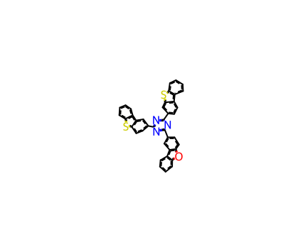 c1ccc2c(c1)oc1ccc(-c3nc(-c4ccc5c(c4)sc4ccccc45)nc(-c4ccc5sc6ccccc6c5c4)n3)cc12